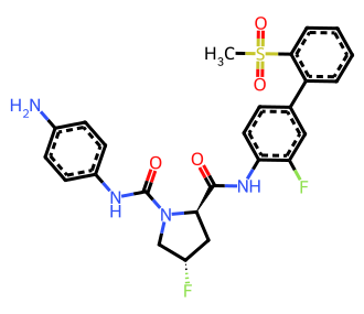 CS(=O)(=O)c1ccccc1-c1ccc(NC(=O)[C@H]2C[C@H](F)CN2C(=O)Nc2ccc(N)cc2)c(F)c1